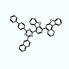 C1=Cc2c(-c3ccc(-c4nc(-c5ccc(-c6ccccc6)cc5)nc(-c5ccc6ccccc6c5)n4)c4c3oc3ccccc34)cc3oc4ccccc4c3c2CC1